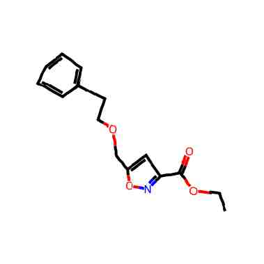 CCOC(=O)c1cc(COCCc2ccccc2)on1